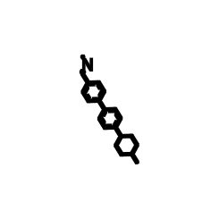 CN=Cc1ccc(-c2ccc(C3CCC(C)CC3)cc2)cc1